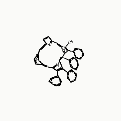 OC1=C(c2ccccc2)C2=NC1=CC1=NC(=CC3=NC(=CC4=NC(=C2c2ccccc2)C(c2ccccc2)=C4c2ccccc2)C=C3)C=C1